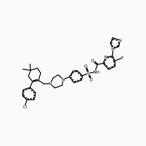 CC1(C)CCC(CN2CCN(c3ccc(S(=O)(=O)NC(=O)c4ccc(F)c(-n5ccnc5)n4)cc3)CC2)=C(c2ccc(Cl)cc2)C1